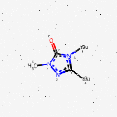 Cn1nc(C(C)(C)C)n(C(C)(C)C)c1=O